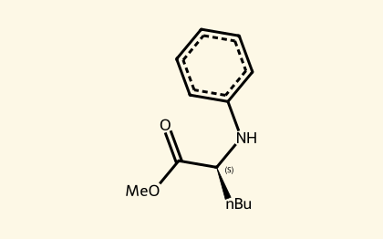 CCCC[C@H](Nc1ccccc1)C(=O)OC